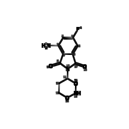 Nc1cc(F)cc2c1C(=O)N(C1CCONO1)C2=O